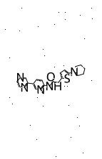 O=C(Cc1ccc(N2CCCCC2)s1)Nc1ccc(-c2cnccn2)cn1